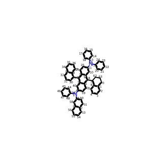 C1=c2ccccc2=C(c2c3cc(N(c4ccccc4)c4ccccc4)ccc3c(-c3cccc4ccccc34)c3cc(N(c4ccccc4)c4ccc5ccccc5c4)ccc23)CC1